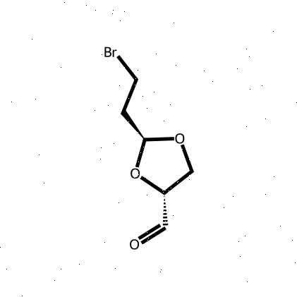 O=C[C@H]1CO[C@H](CCBr)O1